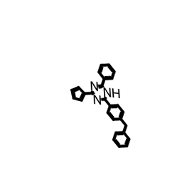 C1=CC=C(C2=NC(c3ccc(Cc4ccccc4)cc3)NC(c3ccccc3)=N2)C=1